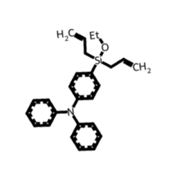 C=CC[Si](CC=C)(OCC)c1ccc(N(c2ccccc2)c2ccccc2)cc1